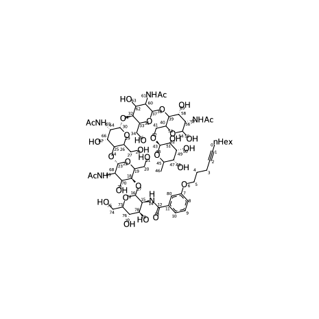 CCCCCCC#CCCCOc1cccc(C(=O)N[C@@H]2C(O[C@@H]3C(CO)O[C@@H](OC4C(CO)O[C@@H](O[C@@H]5C(CO)OC(OC6C(CO[C@@H]7OC(C)[C@@H](O)[C@@H](O)C7O)OC(O)[C@@H](NC(C)=O)[C@H]6O)C(NC(C)=O)C5O)[C@@H](NC(C)=O)[C@H]4O)C(NC(C)=O)C3O)OC(CO)[C@@H](O)[C@@H]2O)c1